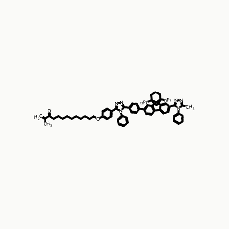 C=C(C)C(=O)CCCCCCCCCCOc1ccc(-c2nnc(-c3ccc(-c4ccc5c(c4)C4(c6cc(-c7nnc(C)n7-c7ccccc7)ccc6-5)C5(CCC)CCCC4(CCC)CCC5)cc3)n2-c2ccccc2)cc1